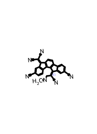 C=NC/C(C#N)=C1/c2cc(C#N)ccc2-c2ccc3c(c21)-c1ccc(C#N)cc1C3=C(C#N)C#N